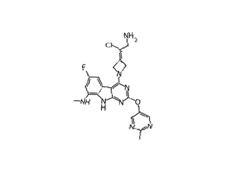 CNc1cc(F)cc2c1[nH]c1nc(Oc3cnc(C)nc3)nc(N3CC(=C(Cl)CN)C3)c12